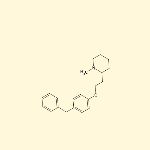 CN1CCCCC1CCOc1ccc(Cc2ccccc2)cc1